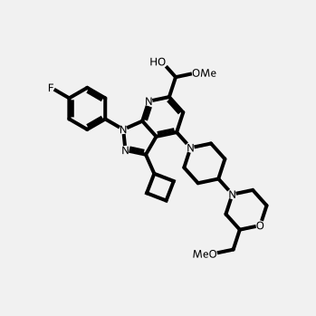 COCC1CN(C2CCN(c3cc(C(O)OC)nc4c3c(C3CCC3)nn4-c3ccc(F)cc3)CC2)CCO1